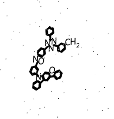 C=C1C=CC=C(c2nc(-c3ccccc3)nc(-c3ccc4nc(-c5cccc(-n6c7ccccc7c7cc8c(cc76)oc6ccccc68)c5)oc4c3)n2)C1